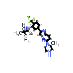 C[C@@H]1CNCCN1c1ccc2nc(-c3ccc(C(F)(F)F)c(NC(=O)C(C)(C)C)c3)cn2n1